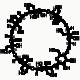 OCC1O[C@@H]2O[C@@H]3C(CO)O[C@H](O[C@@H]4C(CO)O[C@H](O[C@@H]5C(CO)O[C@@H](O[C@@H]6C(CO)O[C@H](O[C@H]7C(CO)O[C@H](O[C@@H]8C(CO)OC(O[C@@H]9C(CO)OC(O[C@H]1C(O)C2O)C(O)[C@H]9O)[C@@H](O)C8O)C(O)C7O)C(O)C6O)C(O)C5O)C(O)C4O)C(O)C3O